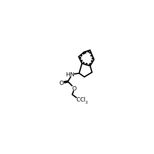 O=C(NC1CCc2ccccc21)OCC(Cl)(Cl)Cl